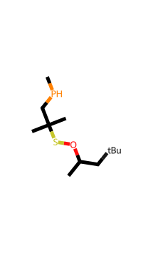 CPCC(C)(C)SOC(C)CC(C)(C)C